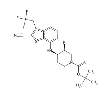 CC(C)(C)OC(=O)N1CC[C@@H](Nc2cccc3c(CC(F)(F)F)c(C#N)sc23)[C@@H](F)C1